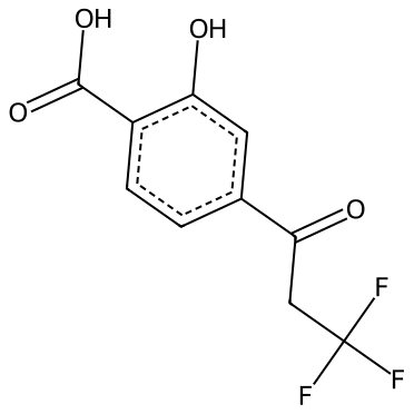 O=C(CC(F)(F)F)c1ccc(C(=O)O)c(O)c1